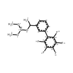 CO[SiH](OC)OC(C)c1cccc(-c2c(F)c(F)c(F)c(F)c2F)c1